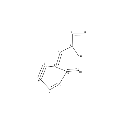 C=CC1C=c2c#cccc2=CC1